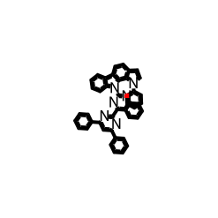 c1ccc(-c2cc(-c3ccccc3)nc(-c3nc(-n4c5ccccc5c5ccc6ccn(-c7ccccc7)c6c54)nc4ccccc34)n2)cc1